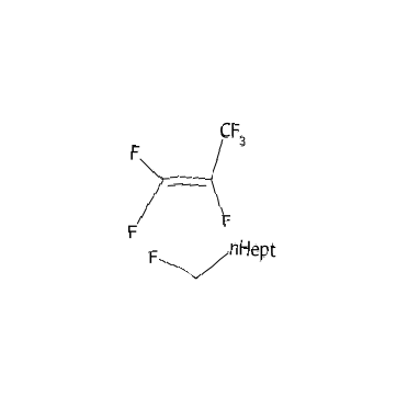 CCCCCCCCF.FC(F)=C(F)C(F)(F)F